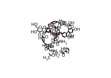 CN[C@H](CC(C)C)C(=O)N[C@H]1C(=O)N[C@@H](CC(N)=O)C(=O)N[C@H]2C(=O)N[C@H]3C(=O)N[C@H](C(=O)N[C@@H](C(=O)O)c4cc(O)cc(O)c4-c4cc3ccc4O)[C@H](O)c3ccc(c(Cl)c3)Oc3cc2cc(c3O[C@@H]2O[C@H](CO)[C@@H](O)[C@H](O)[C@H]2O[C@H]2C[C@](C)(N)C(O)[C@H](C)O2)Oc2ccc(cc2Cl)[C@H]1O.O=[N+]([O-])c1ncc[nH]1